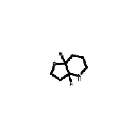 C1CN[C@@H]2CCO[C@@H]2C1